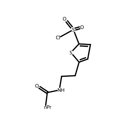 CCCC(=O)NCCc1ccc(S(=O)(=O)Cl)s1